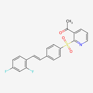 CC(=O)c1cccnc1S(=O)(=O)c1ccc(C=Cc2ccc(F)cc2F)cc1